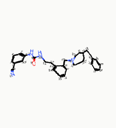 N#Cc1cccc(NC(=O)NCCc2ccccc2CN2CCC(Cc3ccccc3)CC2)c1